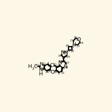 Cc1nc2ccc(Oc3ccc4ncc(-c5cnn([C@H]6C[C@@H](N7CCOCC7)C6)c5)nc4c3Cl)cc2[nH]1